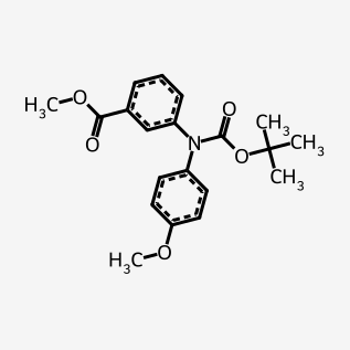 COC(=O)c1cccc(N(C(=O)OC(C)(C)C)c2ccc(OC)cc2)c1